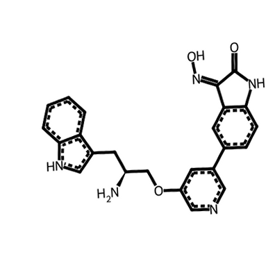 N[C@H](COc1cncc(-c2ccc3c(c2)/C(=N/O)C(=O)N3)c1)Cc1c[nH]c2ccccc12